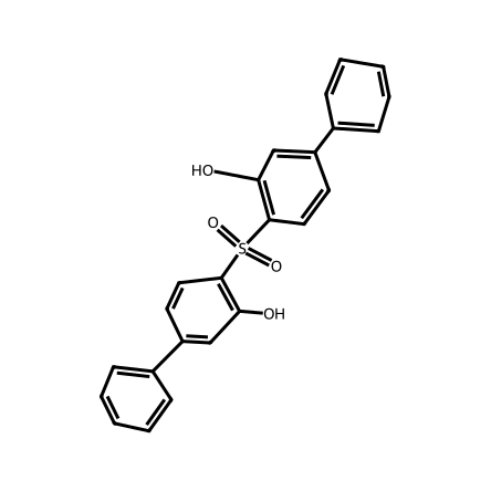 O=S(=O)(c1ccc(-c2ccccc2)cc1O)c1ccc(-c2ccccc2)cc1O